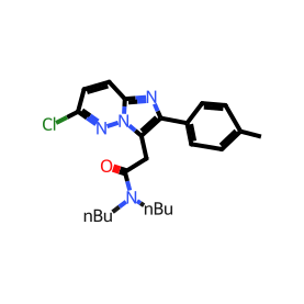 CCCCN(CCCC)C(=O)Cc1c(-c2ccc(C)cc2)nc2ccc(Cl)nn12